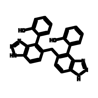 Oc1ccccc1-c1c(Cc2ccc3[nH]nnc3c2-c2ccccc2O)ccc2[nH]nnc12